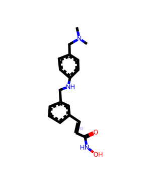 CN(C)Cc1ccc(NCc2cccc(/C=C/C(=O)NO)c2)cc1